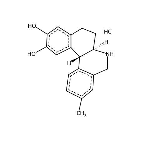 Cc1ccc2c(c1)CN[C@@H]1CCc3cc(O)c(O)cc3[C@@H]21.Cl